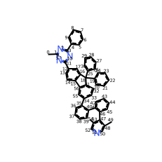 Cc1nc(-c2ccccc2)nc(-c2ccc3c(c2)C(c2ccccc2)(c2ccccc2)c2ccc(-c4ccccc4-c4ccccc4-c4c(C)cncc4C)cc2-3)n1